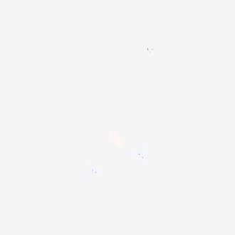 COCCCCCN(C)C(=O)CN(C)C(C)C